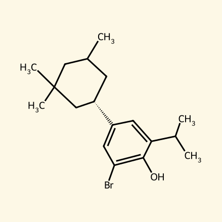 CC1C[C@H](c2cc(Br)c(O)c(C(C)C)c2)CC(C)(C)C1